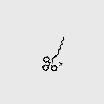 CCCCCC=CCC#CCC[P+](c1ccccc1)(c1ccccc1)c1ccccc1.[Br-]